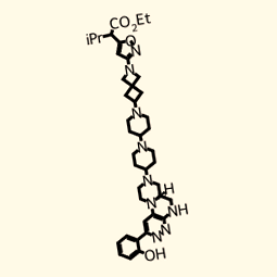 CCOC(=O)C(c1cc(N2CC3(CC(N4CCC(N5CCC(N6CCN7c8cc(-c9ccccc9O)nnc8NC[C@H]7C6)CC5)CC4)C3)C2)no1)C(C)C